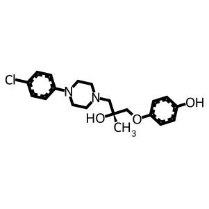 C[C@](O)(COc1ccc(O)cc1)CN1CCN(c2ccc(Cl)cc2)CC1